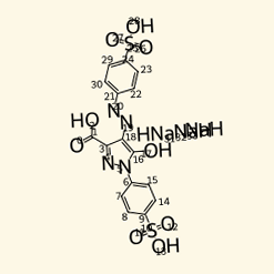 O=C(O)c1nn(-c2ccc(S(=O)(=O)O)cc2)c(O)c1/N=N/c1ccc(S(=O)(=O)O)cc1.[NaH].[NaH].[NaH]